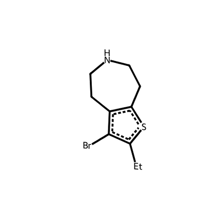 CCc1sc2c(c1Br)CCNCC2